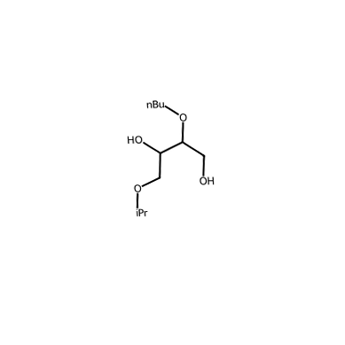 CCCCOC(CO)C(O)COC(C)C